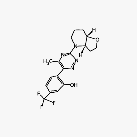 Cc1nc(N2CCC[C@@H]3OCC[C@@H]32)nnc1-c1ccc(C(F)(F)F)cc1O